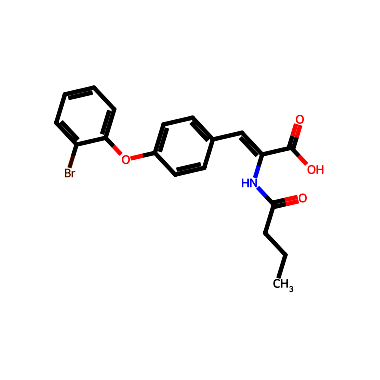 CCCC(=O)NC(=Cc1ccc(Oc2ccccc2Br)cc1)C(=O)O